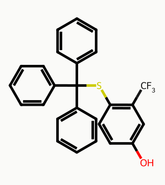 Oc1ccc(SC(c2ccccc2)(c2ccccc2)c2ccccc2)c(C(F)(F)F)c1